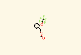 O=[C]OCCc1ccccc1OC(F)(F)C(F)(F)F